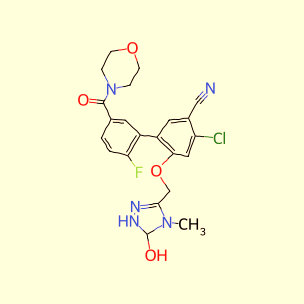 CN1C(COc2cc(Cl)c(C#N)cc2-c2cc(C(=O)N3CCOCC3)ccc2F)=NNC1O